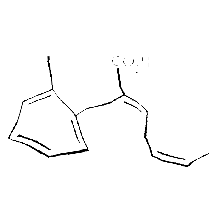 C/C=C\C=C(\C(=O)O)c1ccccc1C